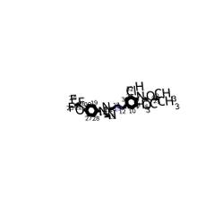 CC(C)(C)OC(=O)Nc1ccc(/C=C/c2ncn(-c3ccc(OC(F)(F)F)cc3)n2)cc1Cl